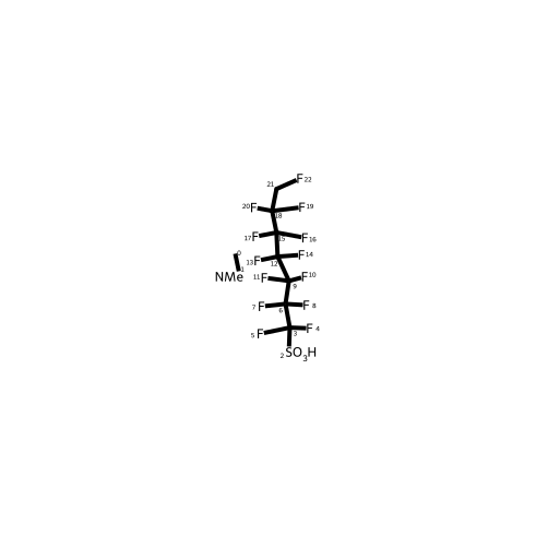 CNC.O=S(=O)(O)C(F)(F)C(F)(F)C(F)(F)C(F)(F)C(F)(F)C(F)(F)CF